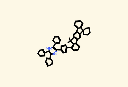 CC1(C)c2cc3c(cc2-c2cccc(-c4ccc(C5=C(C6=CC=CCC6)NC(C6=CCCC=C6)C(C6=CC=CCC6)=N5)cc4)c21)C1(CCCCC1)c1ccccc1-3